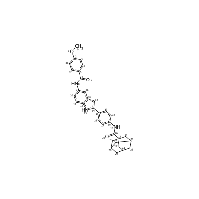 COc1ccc(C(=O)Nc2ccc3[nH]c(-c4ccc(NC(=O)C56CC7CC(CC(C7)C5)C6)cc4)cc3c2)cc1